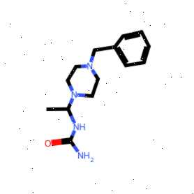 CC(NC(N)=O)N1CCN(Cc2ccccc2)CC1